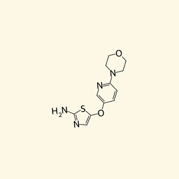 Nc1ncc(Oc2ccc(N3CCOCC3)nc2)s1